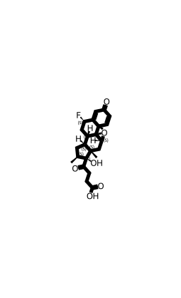 C[C@H]1C[C@H]2[C@@H]3C[C@H](F)C4=CC(=O)C=C[C@]4(C)[C@@]34O[C@H]4C[C@]2(C)[C@@]1(O)C(=O)CCC(=O)O